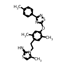 Cc1ccc(-c2nsc(Oc3cc(C)c(CCn4c(C)csc4=N)cc3C)n2)cc1